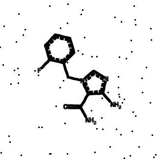 NC(=O)c1c(N)ncn1Cc1ccccc1F